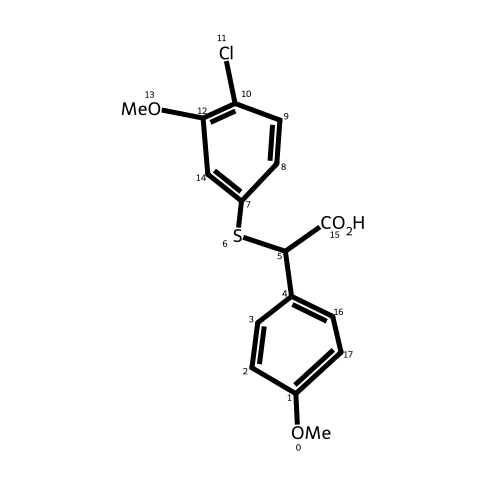 COc1ccc(C(Sc2ccc(Cl)c(OC)c2)C(=O)O)cc1